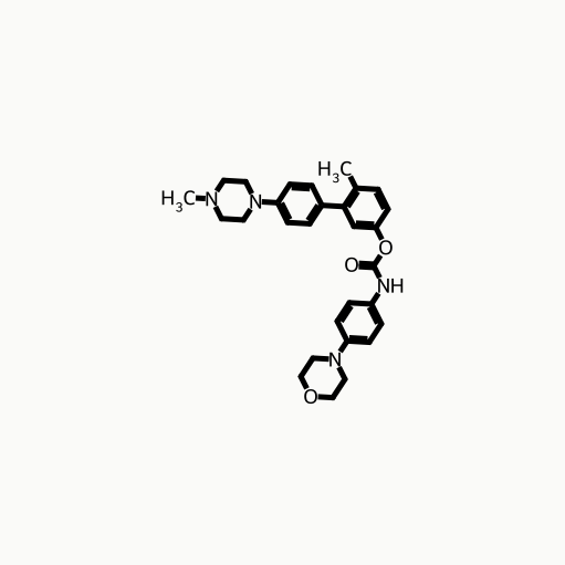 Cc1ccc(OC(=O)Nc2ccc(N3CCOCC3)cc2)cc1-c1ccc(N2CCN(C)CC2)cc1